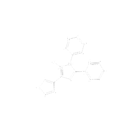 [O-][n+]1c(-c2ccsc2)cc(-c2ccccn2)n1-c1cccnc1